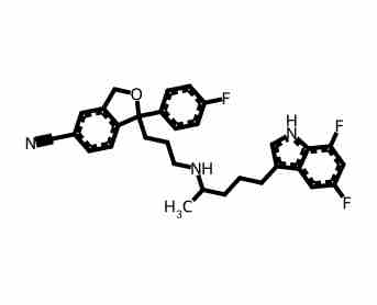 CC(CCCc1c[nH]c2c(F)cc(F)cc12)NCCCC1(c2ccc(F)cc2)OCc2cc(C#N)ccc21